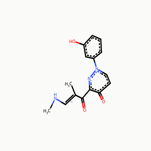 CN/C=C(\C)C(=O)c1nn(-c2cccc(O)c2)ccc1=O